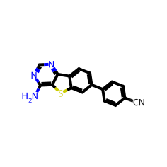 N#Cc1ccc(-c2ccc3c(c2)sc2c(N)ncnc23)cc1